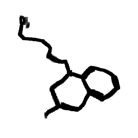 CCCCCN1CC(I)=Cc2ccccc21